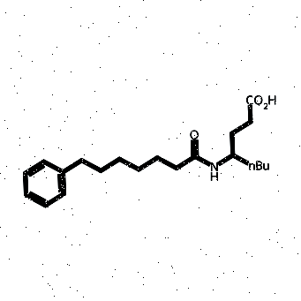 CCCCC(CCC(=O)O)NC(=O)CCCCCCc1ccccc1